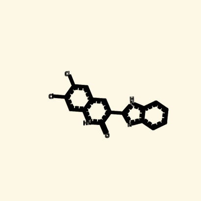 O=c1[nH]c2cc(Cl)c(Cl)cc2cc1-c1nc2ccccc2[nH]1